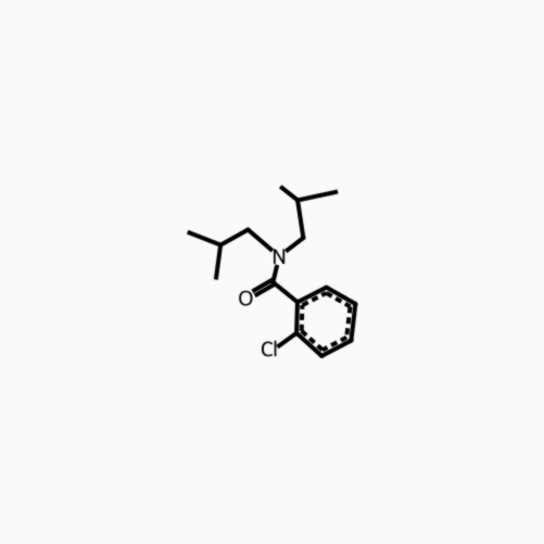 CC(C)CN(CC(C)C)C(=O)c1ccccc1Cl